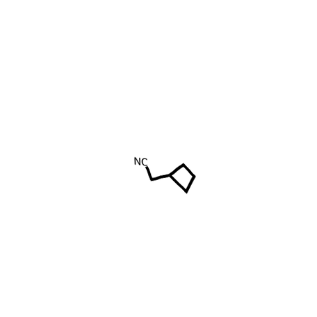 N#CC[C]1CCC1